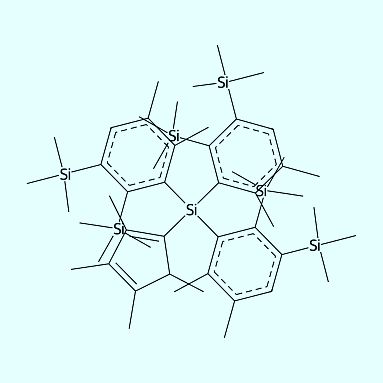 CC1=C(C)C(C)C([Si](c2c(C)c(C)cc([Si](C)(C)C)c2[Si](C)(C)C)(c2c(C)c(C)cc([Si](C)(C)C)c2[Si](C)(C)C)c2c(C)c(C)cc([Si](C)(C)C)c2[Si](C)(C)C)=C1C